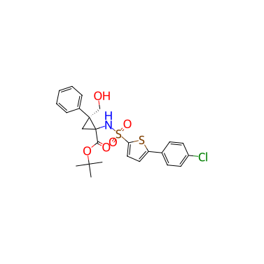 CC(C)(C)OC(=O)C1(NS(=O)(=O)c2ccc(-c3ccc(Cl)cc3)s2)C[C@@]1(CO)c1ccccc1